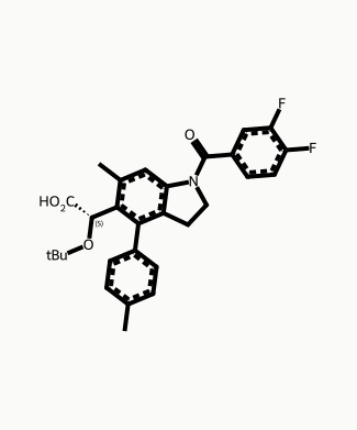 Cc1ccc(-c2c3c(cc(C)c2[C@H](OC(C)(C)C)C(=O)O)N(C(=O)c2ccc(F)c(F)c2)CC3)cc1